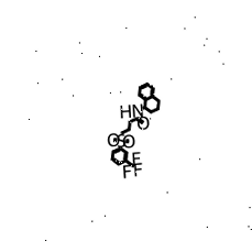 O=C(CCCS(=O)(=O)c1cccc(C(F)(F)F)c1)NC1CCCc2ccccc21